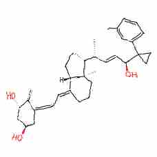 C=C1/C(=C\C=C2/CCC[C@]3(C)[C@@H]([C@H](C)/C=C/[C@H](O)C4(c5cccc(C)c5)CC4)CC[C@@H]23)C[C@@H](O)C[C@@H]1O